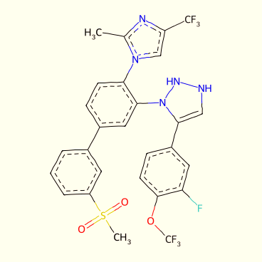 Cc1nc(C(F)(F)F)cn1-c1ccc(-c2cccc(S(C)(=O)=O)c2)cc1N1NNC=C1c1ccc(OC(F)(F)F)c(F)c1